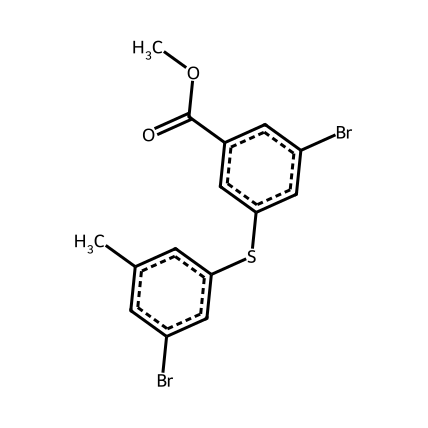 COC(=O)c1cc(Br)cc(Sc2cc(C)cc(Br)c2)c1